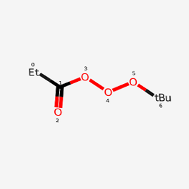 CCC(=O)OOOC(C)(C)C